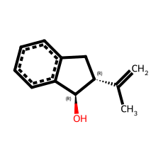 C=C(C)[C@H]1Cc2ccccc2[C@@H]1O